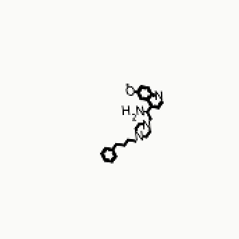 COc1ccc2nccc([C@H](N)CN3CCN(CCCCc4ccccc4)CC3)c2c1